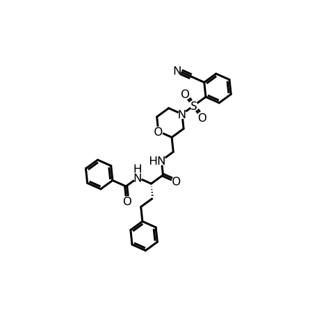 N#Cc1ccccc1S(=O)(=O)N1CCOC(CNC(=O)[C@H](CCc2ccccc2)NC(=O)c2ccccc2)C1